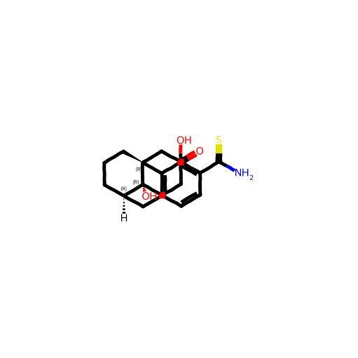 NC(=S)c1ccc2c(c1O)[C@]13CCC[C@H](C2)[C@]1(O)CCC(=O)C3